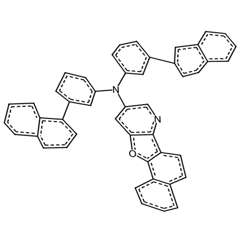 c1cc(-c2ccc3ccccc3c2)cc(N(c2cccc(-c3cccc4ccccc34)c2)c2cnc3c(c2)oc2c4ccccc4ccc32)c1